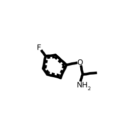 CC(N)Oc1cccc(F)c1